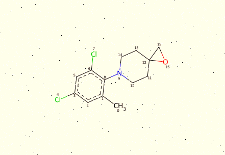 Cc1cc(Cl)cc(Cl)c1N1CCC2(CC1)CO2